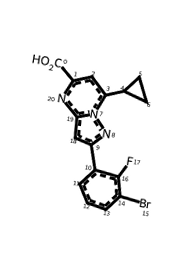 O=C(O)c1cc(C2CC2)n2nc(-c3cccc(Br)c3F)cc2n1